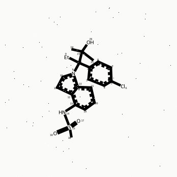 CCC(c1ccc(Cl)cc1)(n1ccc2c(NS(C)(=O)=O)cccc21)C(C)(C)O